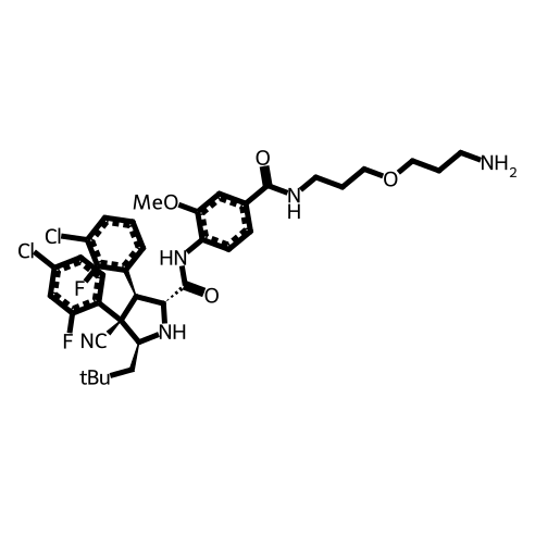 COc1cc(C(=O)NCCCOCCCN)ccc1NC(=O)[C@@H]1N[C@@H](CC(C)(C)C)[C@](C#N)(c2ccc(Cl)cc2F)[C@H]1c1cccc(Cl)c1F